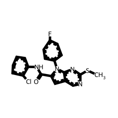 CSc1ncc2cc(C(=O)Nc3ccccc3Cl)n(-c3ccc(F)cc3)c2n1